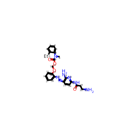 CCc1ccccc1N(C)C(=O)OCOc1ccccc1/N=N/c1ccc(NC(=O)CCN)nc1N